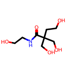 O=C(NCCO)C(CO)(CO)CCO